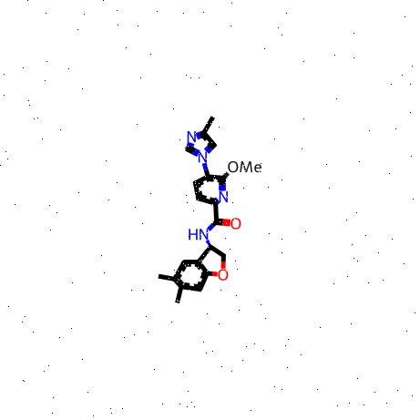 COc1nc(C(=O)N[C@H]2COc3cc(C)c(C)cc32)ccc1-n1cnc(C)c1